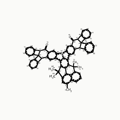 Cc1cc2c3c4c(cccc14)C(C)(C)c1c-3c(c3c4cc5c(cc4n4c6cc7c(cc6c1c34)C1c3ccccc3C13c1ccccc1C3C7=O)C(=O)C1c3ccccc3C13c1ccccc1C53)C2(C)C